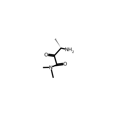 C[C@H](N)C(=O)C(=O)N(C)C